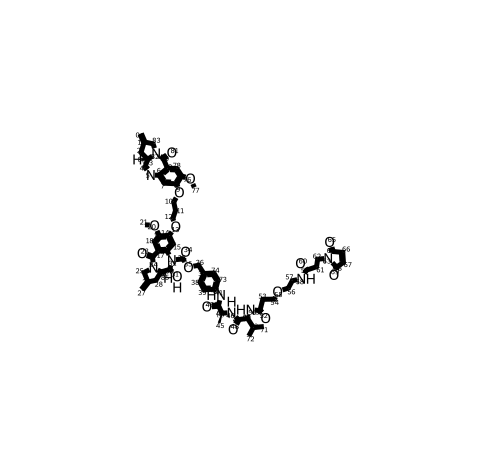 C=C1C[C@H]2C=Nc3cc(OCCCOc4cc5c(cc4OC)C(=O)N4CC(=C)C[C@H]4C(O)N5C(=O)OCc4ccc(NC(=O)[C@H](C)NC(=O)[C@@H](NC(=O)CCOCCNC(=O)CCN5C(=O)C=CC5=O)C(C)C)cc4)c(OC)cc3C(=O)N2C1